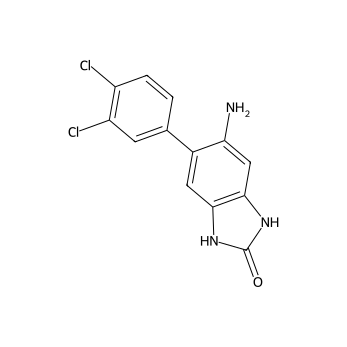 Nc1cc2[nH]c(=O)[nH]c2cc1-c1ccc(Cl)c(Cl)c1